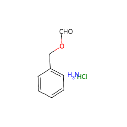 Cl.N.O=COCc1ccccc1